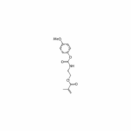 C=C(C)C(=O)OCCNC(=O)Oc1ccc(OC)cc1